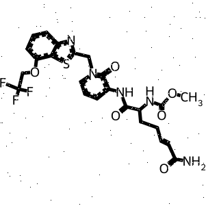 COC(=O)NC(CCC=CC(N)=O)C(=O)Nc1cccn(Cc2nc3cccc(OCC(F)(F)F)c3s2)c1=O